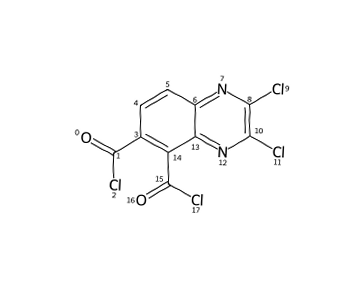 O=C(Cl)c1ccc2nc(Cl)c(Cl)nc2c1C(=O)Cl